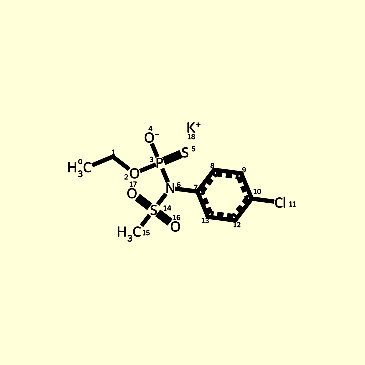 CCOP([O-])(=S)N(c1ccc(Cl)cc1)S(C)(=O)=O.[K+]